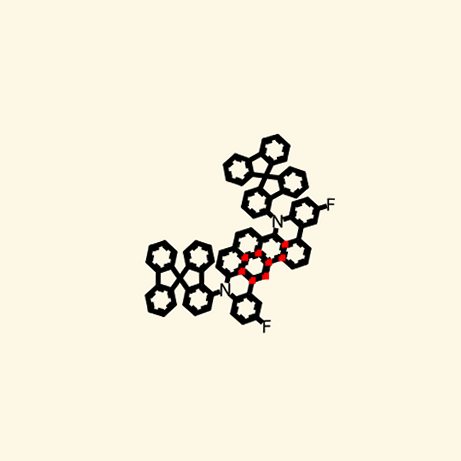 Fc1ccc(N(c2cccc3c2-c2ccccc2C32c3ccccc3-c3ccccc32)c2ccc3ccc4c(N(c5ccc(F)cc5-c5ccccc5)c5cccc6c5-c5ccccc5C65c6ccccc6-c6ccccc65)ccc5ccc2c3c54)c(-c2ccccc2)c1